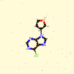 Clc1ncnc2c1ncn2-c1ccoc1